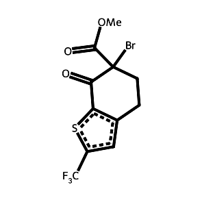 COC(=O)C1(Br)CCc2cc(C(F)(F)F)sc2C1=O